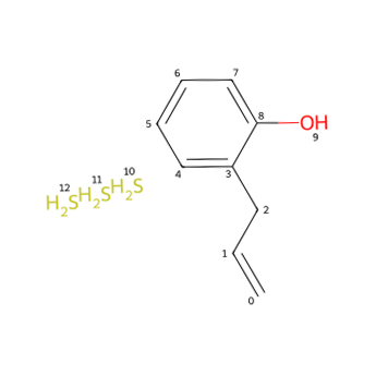 C=CCc1ccccc1O.S.S.S